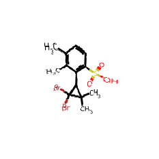 Cc1ccc(S(=O)(=O)O)c(C2C(C)(C)C2(Br)Br)c1C